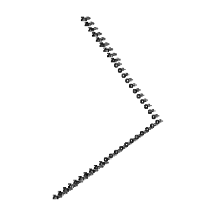 [O-2].[O-2].[O-2].[O-2].[O-2].[O-2].[O-2].[O-2].[O-2].[O-2].[O-2].[O-2].[O-2].[O-2].[O-2].[O-2].[O-2].[O-2].[O-2].[O-2].[O-2].[O-2].[Zn+2].[Zn+2].[Zn+2].[Zn+2].[Zn+2].[Zn+2].[Zn+2].[Zn+2].[Zn+2].[Zn+2].[Zn+2].[Zn+2].[Zn+2].[Zn+2].[Zn+2].[Zn+2].[Zn+2].[Zn+2].[Zn+2]